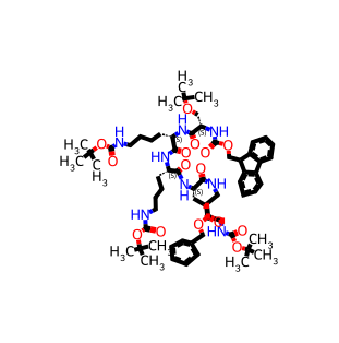 CC(C)(C)OC[C@H](NC(=O)OCC1c2ccccc2-c2ccccc21)C(=O)N[C@@H](CCCCNC(=O)OC(C)(C)C)C(=O)N[C@@H](CCCCNC(=O)OC(C)(C)C)C(=O)N[C@@H](CCCCNC(=O)OC(C)(C)C)C(=O)NCCC(=O)OCc1ccccc1